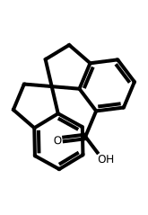 O=C(O)c1cccc2c1C1(CCc3ccccc31)CC2